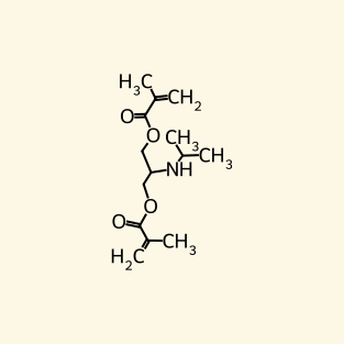 C=C(C)C(=O)OCC(COC(=O)C(=C)C)NC(C)C